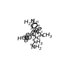 CC(C)CN(C(CCCCN)COP(=O)(O)O)S(=O)(=O)c1ccc(N)cc1